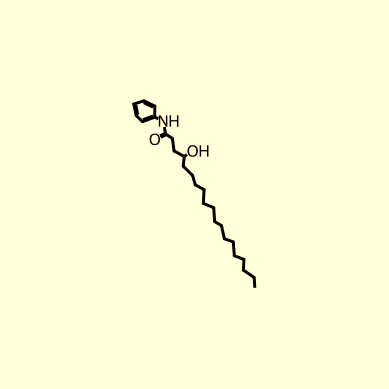 CCCCCCCCCCCCCCCC(O)CCC(=O)Nc1ccccc1